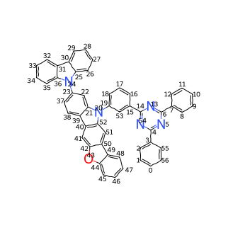 c1ccc(-c2nc(-c3ccccc3)nc(-c3cccc(-n4c5cc(-n6c7ccccc7c7ccccc76)ccc5c5cc6oc7ccccc7c6cc54)c3)n2)cc1